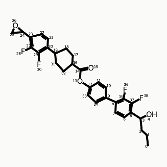 CCCC(O)c1ccc(-c2ccc(OC(=O)C3CCC(c4ccc(C5CO5)c(F)c4F)CC3)cc2)c(F)c1F